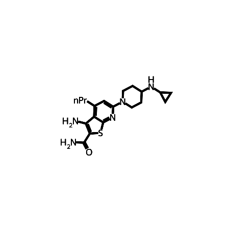 CCCc1cc(N2CCC(NC3CC3)CC2)nc2sc(C(N)=O)c(N)c12